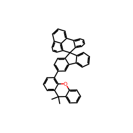 CC1(C)c2ccccc2Oc2c(-c3ccc4c(c3)-c3ccccc3C43c4ccccc4-c4cccc5cccc3c45)cccc21